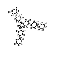 Fc1cccc(-c2ccc(-n3cc(-c4ccc(-c5ccccc5)cc4)c4cc(-c5ccc(-c6ccccc6)cc5)ccc43)cc2)c1